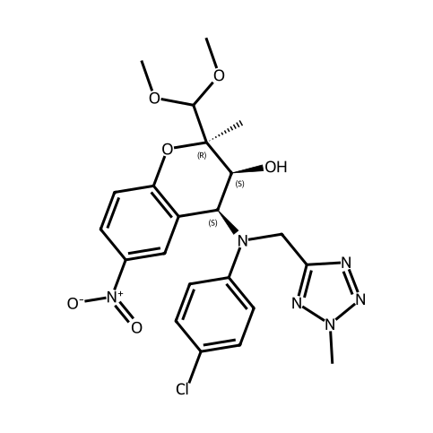 COC(OC)[C@]1(C)Oc2ccc([N+](=O)[O-])cc2[C@H](N(Cc2nnn(C)n2)c2ccc(Cl)cc2)[C@@H]1O